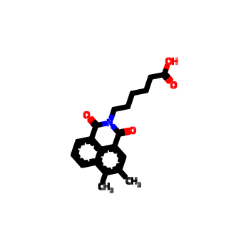 Cc1cc2c3c(cccc3c1C)C(=O)N(CCCCCC(=O)O)C2=O